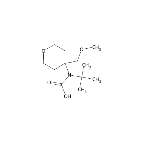 COCC1(N(C(=O)O)C(C)(C)C)CCOCC1